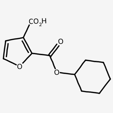 O=C(O)c1ccoc1C(=O)OC1CCCCC1